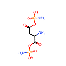 NC(CC(=O)OP(N)(=O)O)C(=O)OP(N)(=O)O